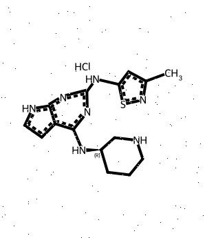 Cc1cc(Nc2nc(N[C@@H]3CCCNC3)c3cc[nH]c3n2)sn1.Cl